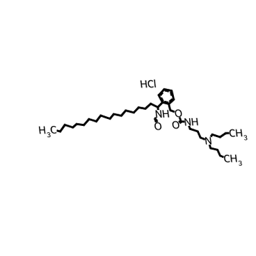 CCCCCCCCCCCCCCCCCC(NC=O)c1ccccc1COC(=O)NCCCN(CCCC)CCCC.Cl